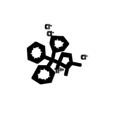 CC1=C(C)[C]([Ti+3])(C(c2ccccc2)(c2ccccc2)c2ccccc2)C=C1.[Cl-].[Cl-].[Cl-]